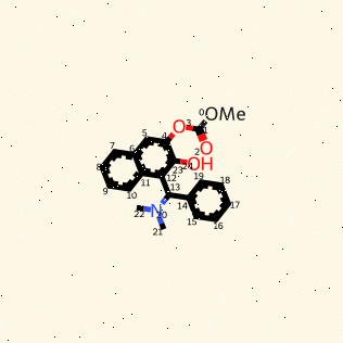 COC(=O)Oc1cc2ccccc2c(C(c2ccccc2)N(C)C)c1O